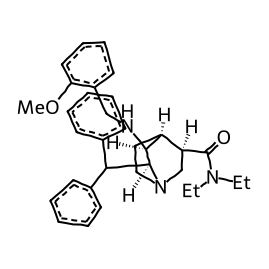 CCN(CC)C(=O)[C@H]1CN2CC[C@@H]1[C@H](NCc1ccccc1OC)[C@@H]2C(c1ccccc1)c1ccccc1